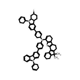 CC1(C)C2=C(C=CCC2)C2=C1CCc1c2sc2c1CCC=C2N(c1ccc(-c2ccc3c(c2)c2ccccc2n3C2=CC=CCC2)cc1)C1C=CC(c2ccc3c(c2)C2CCC(I)CC2N3C2=CC=CCC2)=CC1